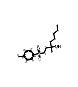 CCCCCC(C)(O)CCS(=O)(=O)c1ccc(C)cc1